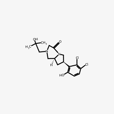 CC(C)(O)CN1CC(=O)N2C[C@@H](c3c(O)ccc(Cl)c3Cl)C[C@H]2C1